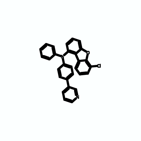 Clc1cccc2c1oc1cccc(N(c3ccccc3)c3ccc(-c4cccnc4)cc3)c12